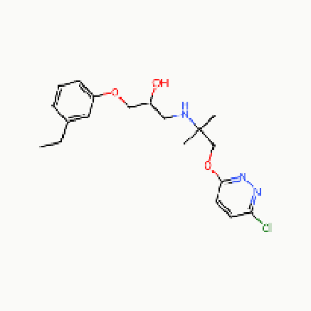 CCc1cccc(OCC(O)CNC(C)(C)COc2ccc(Cl)nn2)c1